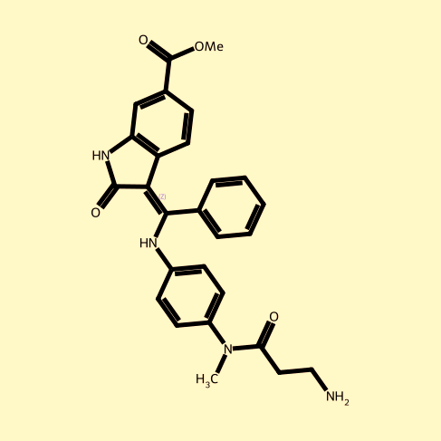 COC(=O)c1ccc2c(c1)NC(=O)/C2=C(\Nc1ccc(N(C)C(=O)CCN)cc1)c1ccccc1